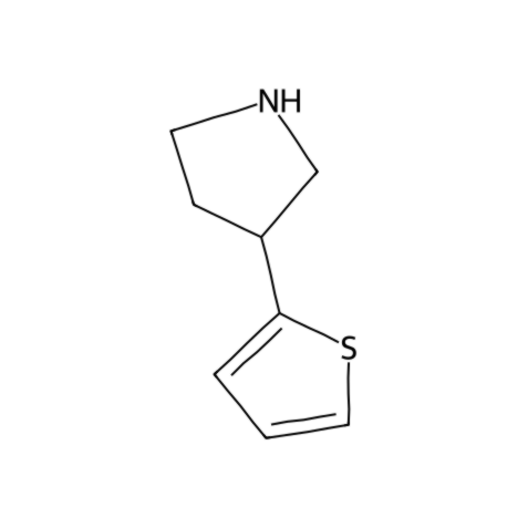 c1csc(C2CCNC2)c1